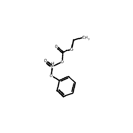 CCOC(=O)O[PH](=O)Oc1ccccc1